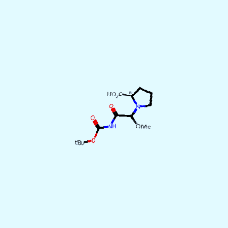 COC(C(=O)NC(=O)OC(C)(C)C)N1CCC[C@@H]1C(=O)O